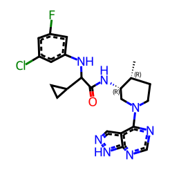 C[C@@H]1CCN(c2ncnc3[nH]ncc23)C[C@@H]1NC(=O)C(Nc1cc(F)cc(Cl)c1)C1CC1